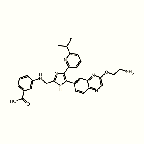 NCCOc1cnc2ccc(-c3[nH]c(CNc4cccc(C(=O)O)c4)nc3-c3cccc(C(F)F)n3)cc2n1